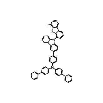 Cc1cccc2c1sc1c(-n3c4ccccc4c4cc(-c5ccc(N(c6ccc(-c7ccccc7)cc6)c6ccc(-c7ccccc7)cc6)cc5)ccc43)cccc12